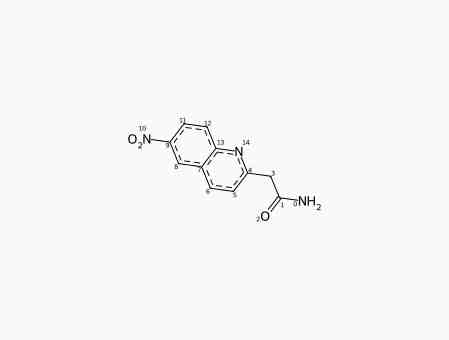 NC(=O)Cc1ccc2cc([N+](=O)[O-])ccc2n1